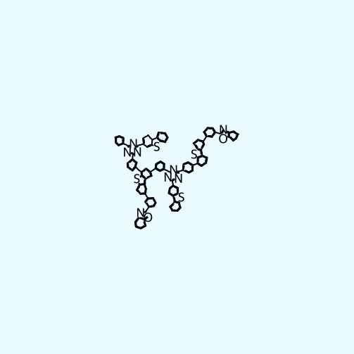 C1=C(c2nc(-c3ccccc3)nc(-c3cccc(-c4cc(-c5cccc(-c6nc(-c7ccc(-c8cccc9c8sc8ccc(-c%10cccc(-c%11nc%12ccccc%12o%11)c%10)cc89)cc7)nc(-c7ccc8c(c7)sc7ccccc78)n6)c5)cc5c4sc4ccc(-c6cccc(-c7nc8ccccc8o7)c6)cc45)c3)n2)C=C2Sc3ccccc3C2C1